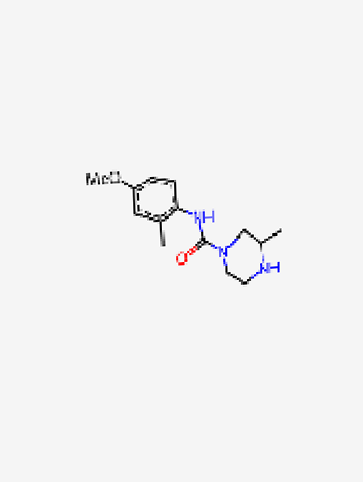 COc1ccc(NC(=O)N2CCNC(C)C2)c(C)c1